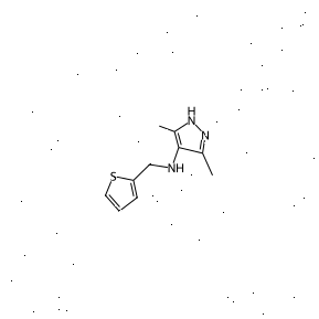 Cc1n[nH]c(C)c1NCc1cccs1